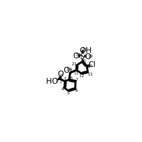 O=C(O)c1ccccc1C(=O)c1ccc(Cl)c(S(=O)(=O)O)c1